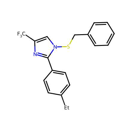 CCc1ccc(-c2nc(C(F)(F)F)cn2SCc2ccccc2)cc1